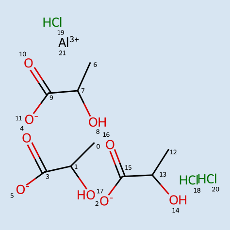 CC(O)C(=O)[O-].CC(O)C(=O)[O-].CC(O)C(=O)[O-].Cl.Cl.Cl.[Al+3]